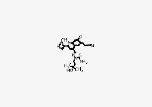 Cn1cncc1-c1cc(/C=N/N(CCC(C)(C)O)C(N)=S)c2cc(CCC#N)c(Cl)cc2n1